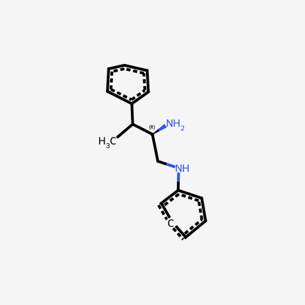 CC(c1ccccc1)[C@@H](N)CNc1ccccc1